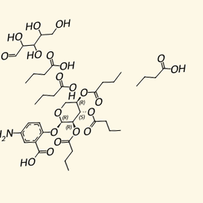 CCCC(=O)O.CCCC(=O)O.CCCC(=O)O.CCCC(=O)O[C@@H]1[C@@H](OC(=O)CCC)[C@@H](Oc2ccc(N)cc2C(=O)O)OC[C@H]1OC(=O)CCC.O=CC(O)C(O)C(O)CO